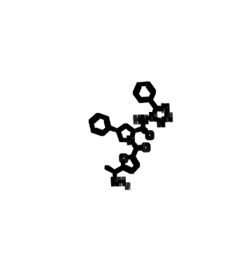 C[C@H](N)c1ccc(C(=O)N2C[C@@H](c3ccccc3)C[C@H]2C(=O)Nn2nnnc2-c2ccccc2)o1